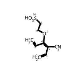 C=C/C(C#N)=C(\C=C)OCCS(=O)(=O)O